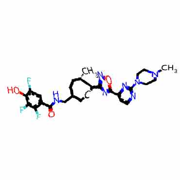 C[C@H]1CCC(CNC(=O)c2cc(F)c(O)c(F)c2F)CCC1c1noc(-c2ccnc(N3CCN(C)CC3)n2)n1